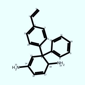 C=Cc1ccc(C2(c3ccccc3)C=C(N)C=CC2N)cc1